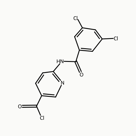 O=C(Cl)c1ccc(NC(=O)c2cc(Cl)cc(Cl)c2)nc1